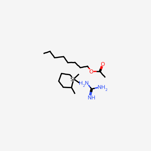 CC1CCCC[Si]1(C)C.CCCCCCCCOC(C)=O.N=C(N)N